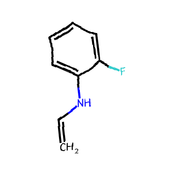 C=CNc1ccccc1F